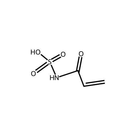 C=CC(=O)NS(=O)(=O)O